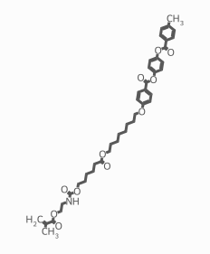 C=C(C)C(=O)OCCNC(=O)OCCCCCC(=O)OCCCCCCCCOc1ccc(C(=O)Oc2ccc(OC(=O)c3ccc(C)cc3)cc2)cc1